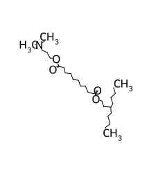 CCCCCC(CCCCC)CCOC(=O)CCCCCCCCC(=O)OCCCN(C)CC